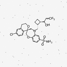 C=CC(O)[C@@H]1CC[C@H]1CN1C[C@]2(COc3ccc(S(N)(=O)=O)cc31)OCCc1cc(Cl)ccc12